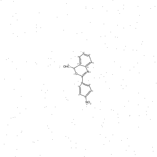 O=CC1OC(c2ccc([N+](=O)[O-])cc2)=Nc2ccccc21